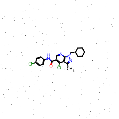 Cc1nn(CC2CCCCC2)c2ncc(C(=O)Nc3ccc(Cl)cc3)c(Cl)c12